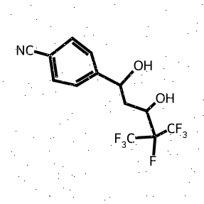 N#Cc1ccc(C(O)CC(O)C(F)(C(F)(F)F)C(F)(F)F)cc1